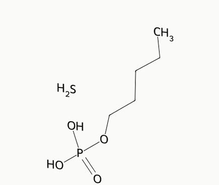 CCCCCOP(=O)(O)O.S